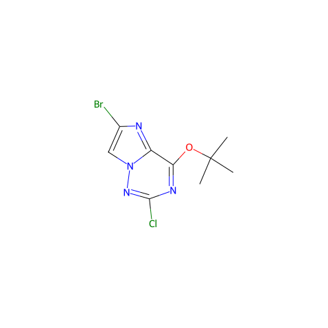 CC(C)(C)Oc1nc(Cl)nn2cc(Br)nc12